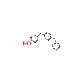 Oc1ccc(Cc2ccc(Cc3ccccc3)cc2)cc1